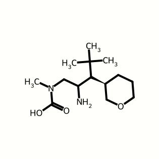 CN(CC(N)C([C@H]1CCCOC1)C(C)(C)C)C(=O)O